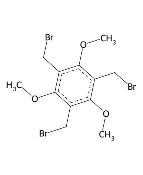 COc1c(CBr)c(OC)c(CBr)c(OC)c1CBr